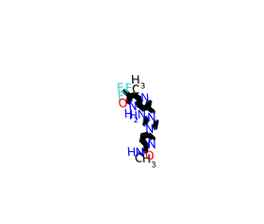 CNC(=O)c1ccc(N2CCN(Cc3cnc4c(C)c(C(F)(F)F)c(=O)[nH]c4c3)[C@@H](N)C2)cn1